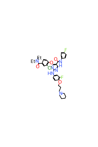 CCN(CC)C(=O)c1ccc(Oc2nc(Nc3ccc(OCCCN4CCCCC4)c(F)c3)ncc2C(=O)Nc2ccc(F)cc2)c(Cl)c1